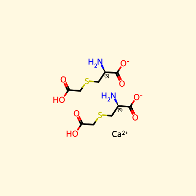 N[C@H](CSCC(=O)O)C(=O)[O-].N[C@H](CSCC(=O)O)C(=O)[O-].[Ca+2]